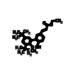 CCOC(=O)C=Cc1ccc(O)c(-c2cc(C(C)(C)C)cc(C(C)(C)C)c2OC)c1